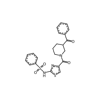 O=C(c1ccccc1)C1CCCN(C(=O)c2csc(NS(=O)(=O)c3ccccc3)n2)C1